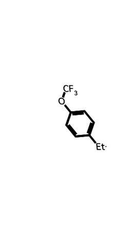 C[CH]c1ccc(OC(F)(F)F)cc1